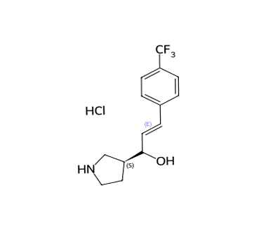 Cl.OC(/C=C/c1ccc(C(F)(F)F)cc1)[C@H]1CCNC1